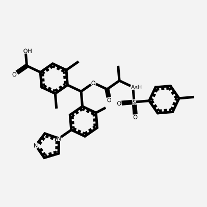 Cc1ccc(S(=O)(=O)[AsH]C(C)C(=O)OC(c2cc(-n3ccnc3)ccc2C)c2c(C)cc(C(=O)O)cc2C)cc1